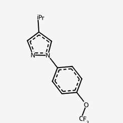 CC(C)c1cnn(-c2ccc(OC(F)(F)F)cc2)c1